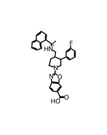 C[C@@H](NCC1CCN(c2nc3ccc(C(=O)O)cc3o2)CC1c1cccc(F)c1)c1cccc2ccccc12